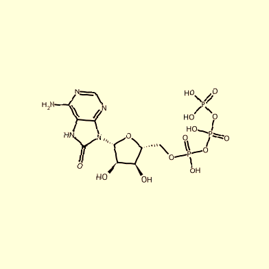 Nc1ncnc2c1[nH]c(=O)n2[C@@H]1O[C@H](COP(=O)(O)OP(=O)(O)OP(=O)(O)O)[C@@H](O)[C@H]1O